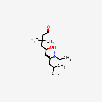 CCN/C(=C\C(O)CC(C)(C)CC=O)CC(C)C